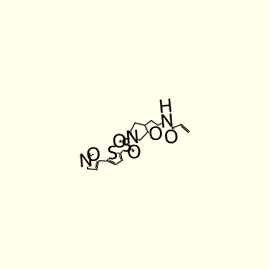 C=CC(=O)NC1CC2CCN(S(=O)(=O)c3ccc(-c4ccno4)s3)CC2O1